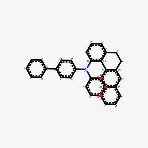 c1ccc(-c2ccc(N(c3ccccc3)c3cccc4c3-c3cc5ccccc5cc3CC4)cc2)cc1